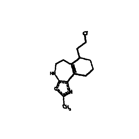 Cc1nc2c(o1)NCCC1=C2CCCC1CCCl